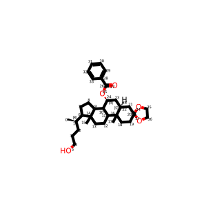 C[C@H](CCCO)C1CCC2C3C(CCC21C)C1(C)CCC2(C[C@@H]1C[C@H]3OC(=O)c1ccccc1)OCCO2